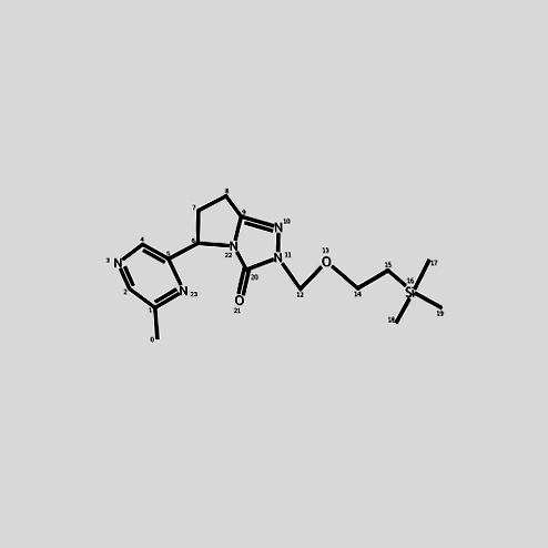 Cc1cncc(C2CCc3nn(COCC[Si](C)(C)C)c(=O)n32)n1